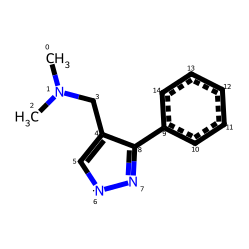 CN(C)CC1=C[N]N=C1c1ccccc1